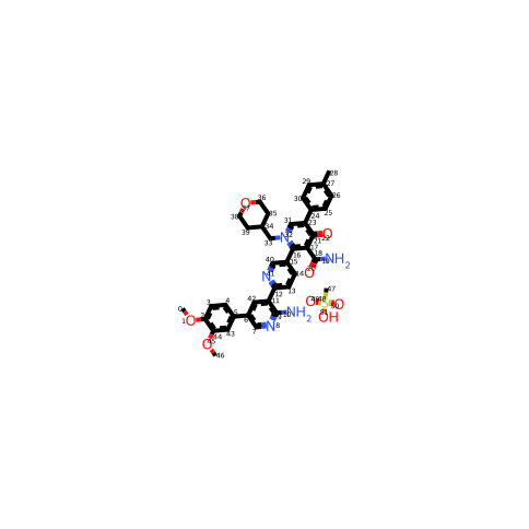 COc1ccc(-c2cnc(N)c(-c3ccc(-c4c(C(N)=O)c(=O)c(-c5ccc(C)cc5)cn4CC4CCOCC4)cn3)c2)cc1OC.CS(=O)(=O)O